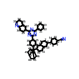 N#Cc1ccc(-c2ccc3cc(C4(c5ccc(-c6nc(-c7ccccc7)nc(-c7ccc8ncccc8c7)n6)cc5)C5CC6CC(C5)CC4C6)ccc3c2)cc1